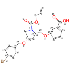 C=CCOC(=O)N1C[C@@H](OCc2ccc(Br)cc2)C[C@H]1COc1cccc(C(=O)O)c1